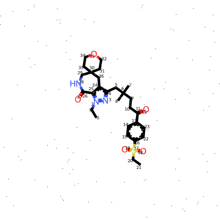 CCn1nc(CC(C)(C)CCC(=O)c2ccc(S(=O)(=O)CC)cc2)c2c1C(=O)NCC1(CCOCC1)C2